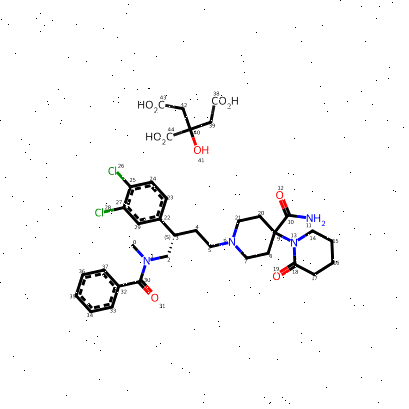 CN(C[C@@H](CCN1CCC(C(N)=O)(N2CCCCC2=O)CC1)c1ccc(Cl)c(Cl)c1)C(=O)c1ccccc1.O=C(O)CC(O)(CC(=O)O)C(=O)O